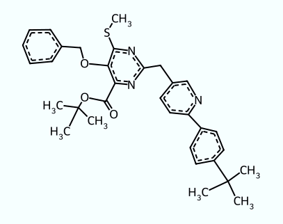 CSc1nc(Cc2ccc(-c3ccc(C(C)(C)C)cc3)nc2)nc(C(=O)OC(C)(C)C)c1OCc1ccccc1